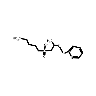 CC(CP(=O)(O)CCCCC(=O)O)SSc1ccccn1